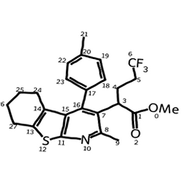 COC(=O)C(CCC(F)(F)F)c1c(C)nc2sc3c(c2c1-c1ccc(C)cc1)CCCC3